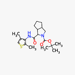 Cc1csc(C)c1NC(=O)C1C2CCCC2CN1C(=O)OC(C)(C)C